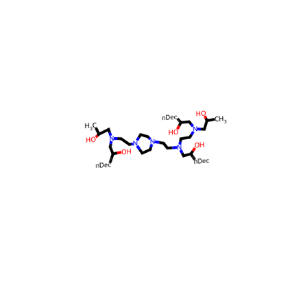 CCCCCCCCCCC(O)CN(CCN1CCN(CCN(CC(C)O)CC(O)CCCCCCCCCC)CC1)CCN(CC(C)O)CC(O)CCCCCCCCCC